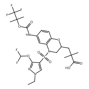 CCn1cc(S(=O)(=O)N2CC(CC(C)(C)C(=O)O)Oc3ccc(NC(=O)OC(C)(C)C(F)(F)F)cc32)c(OC(F)F)n1